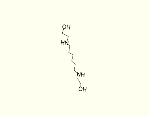 OCCNCCCCCCNCCO